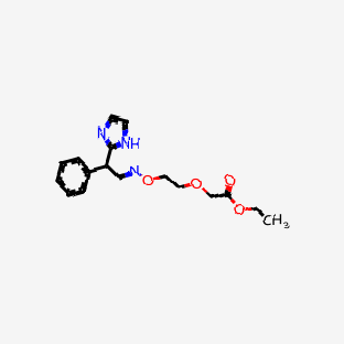 CCOC(=O)COCCON=CC(c1ccccc1)c1ncc[nH]1